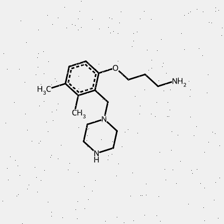 Cc1ccc(OCCCN)c(CN2CCNCC2)c1C